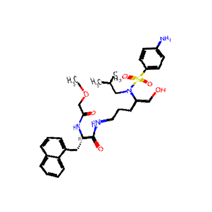 COCC(=O)N[C@@H](Cc1cccc2ccccc12)C(=O)NCCCC(CO)N(CC(C)C)S(=O)(=O)c1ccc(N)cc1